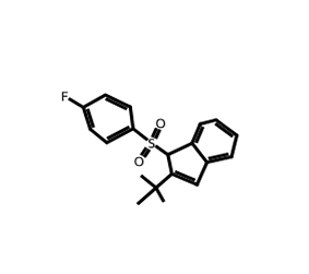 CC(C)(C)C1=Cc2ccccc2C1S(=O)(=O)c1ccc(F)cc1